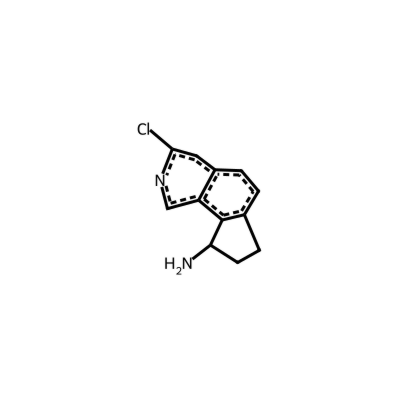 NC1CCc2ccc3cc(Cl)ncc3c21